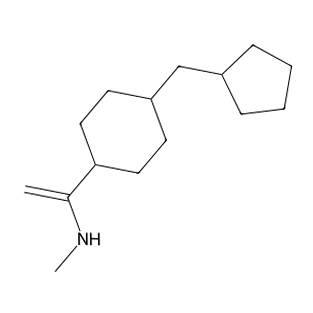 C=C(NC)C1CCC(CC2CCCC2)CC1